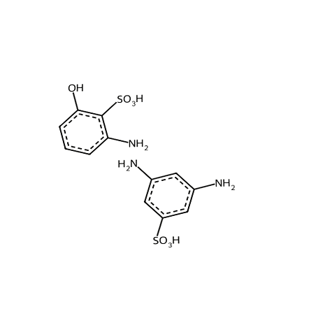 Nc1cc(N)cc(S(=O)(=O)O)c1.Nc1cccc(O)c1S(=O)(=O)O